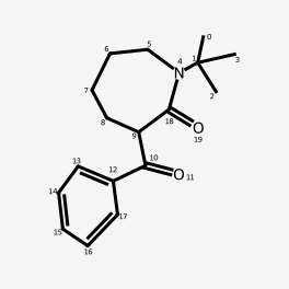 CC(C)(C)N1CCCCC(C(=O)c2ccccc2)C1=O